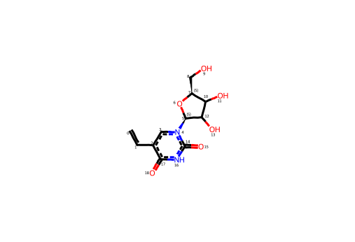 C=Cc1cn([C@H]2O[C@@H](CO)C(O)C2O)c(=O)[nH]c1=O